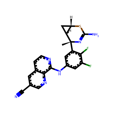 C[C@]1(c2cc(Nc3nccc4cc(C#N)cnc34)cc(F)c2F)N=C(N)S[C@H]2C[C@H]21